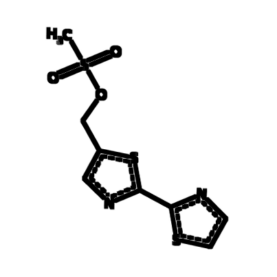 CS(=O)(=O)OCc1cnc(-c2nccs2)s1